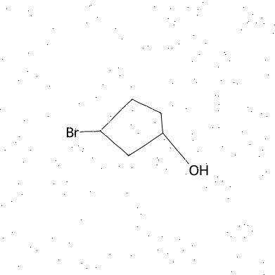 OC1CCC(Br)C1